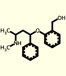 CNC(C)CC(Oc1ccccc1CO)c1ccccc1